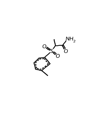 Cc1cccc(S(=O)(=O)C(C)C(N)=O)c1